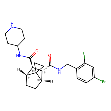 O=C(NC1CCNCC1)[C@H]1[C@H](C(=O)NCc2ccc(Br)cc2F)[C@@H]2CC[C@H]1C21CC1